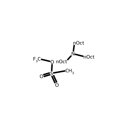 CCCCCCCCN(CCCCCCCC)CCCCCCCC.CS(=O)(=O)OC(F)(F)F